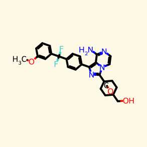 COc1cccc(C(F)(F)c2ccc(-c3nc(C45CCC(CO)(CC4)OC5)n4ccnc(N)c34)cc2)c1